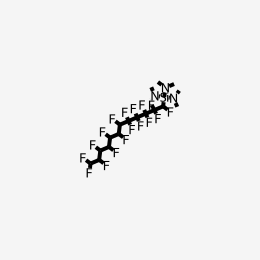 CN(C)[Si](C(F)C(F)(F)C(F)(F)C(F)(F)C(F)(F)C(F)C(F)C(F)C(F)C(F)C(F)C(F)F)(N(C)C)N(C)C